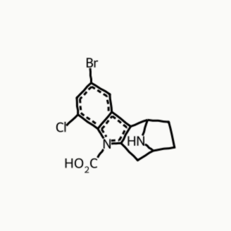 O=C(O)n1c2c(c3cc(Br)cc(Cl)c31)C1CCC(C2)N1